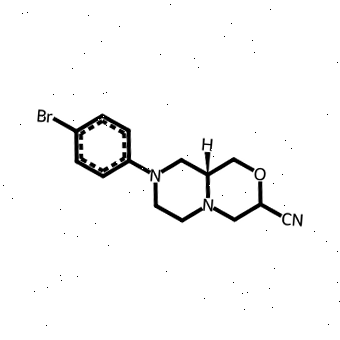 N#CC1CN2CCN(c3ccc(Br)cc3)C[C@@H]2CO1